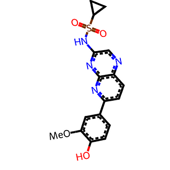 COc1cc(-c2ccc3ncc(NS(=O)(=O)C4CC4)nc3n2)ccc1O